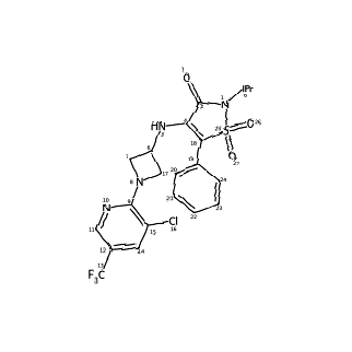 CC(C)N1C(=O)C(NC2CN(c3ncc(C(F)(F)F)cc3Cl)C2)=C(c2ccccc2)S1(=O)=O